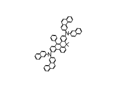 CC1(C)c2cc(N(c3ccc4ccccc4c3)c3ccc4ccc5ccccc5c4c3)ccc2-c2c(-c3ccccc3)c3ccc(N(c4ccc5ccccc5c4)c4ccc5ccc6ccccc6c5c4)cc3c3cccc1c23